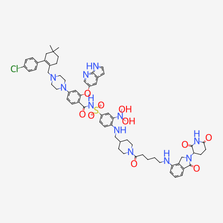 CC1(C)CCC(CN2CCN(c3ccc(C(=O)NS(=O)(=O)c4ccc(NCC5CCN(C(=O)CCCCNc6cccc7c6CN(C6CCC(=O)NC6=O)C7=O)CC5)c(N(O)O)c4)c(Oc4cnc5[nH]ccc5c4)c3)CC2)=C(c2ccc(Cl)cc2)C1